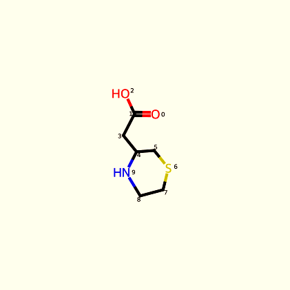 O=C(O)CC1CSCCN1